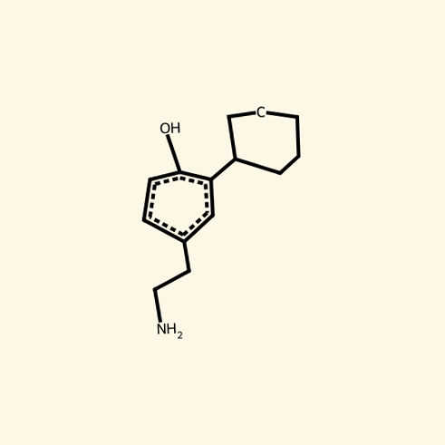 NCCc1ccc(O)c(C2CCCCC2)c1